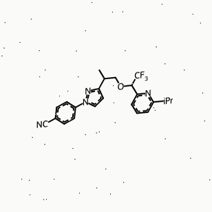 CC(C)c1cccc(C(OCC(C)c2ccn(-c3ccc(C#N)cc3)n2)C(F)(F)F)n1